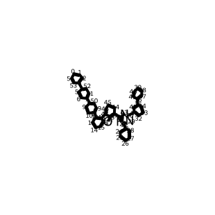 c1ccc(-c2ccc(-c3ccc(-c4cccc5oc6c(-c7nc(-c8ccccc8)nc(-c8cccc(-c9ccccc9)c8)n7)cccc6c45)cc3)cc2)cc1